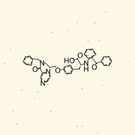 O=C(c1ccccc1)c1ccccc1N[C@@H](Cc1ccc(OCCCN(Cc2ccccc2)C(=O)c2cnccn2)cc1)C(=O)O